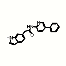 O=C(Cc1ccc2cc[nH]c2c1)Nc1ccc(-c2ccccc2)cn1